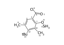 Cc1cc(C(=O)Cl)c(O[SiH3])c(C)c1C(C)(C)C